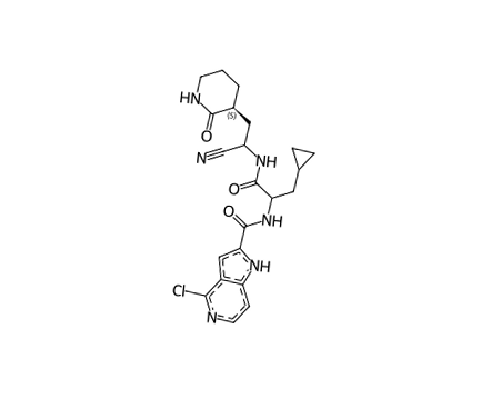 N#CC(C[C@@H]1CCCNC1=O)NC(=O)C(CC1CC1)NC(=O)c1cc2c(Cl)nccc2[nH]1